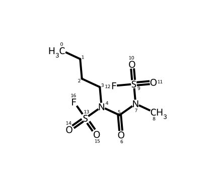 CCCCN(C(=O)N(C)S(=O)(=O)F)S(=O)(=O)F